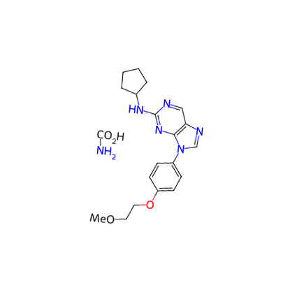 COCCOc1ccc(-n2cnc3cnc(NC4CCCC4)nc32)cc1.NC(=O)O